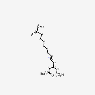 COC(=O)CCCCCC/C=C/CC(CC(=O)O)CC(=O)OCC(C)C